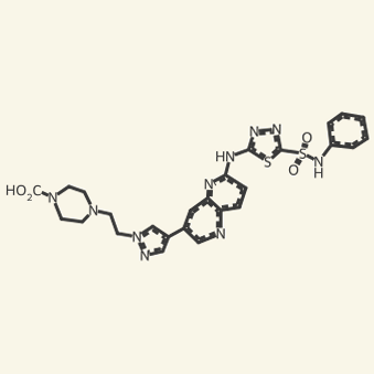 O=C(O)N1CCN(CCn2cc(-c3cnc4ccc(Nc5nnc(S(=O)(=O)Nc6ccccc6)s5)nc4c3)cn2)CC1